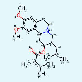 COc1cc2c(cc1OC)C1CC(OC(=O)[C@@H](C)C(C)C)C(CC(C)C)CN1CC2